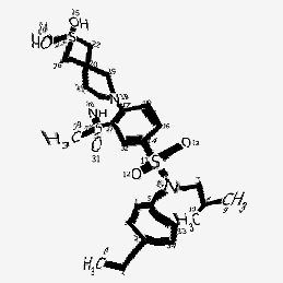 CCc1ccc(N(CC(C)C)S(=O)(=O)c2ccc(N3CC4(C3)CS(O)(O)C4)c(S(C)(=N)=O)c2)cc1